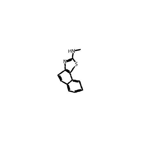 CNc1nc2ccc3ccccc3c2s1